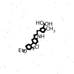 CCOc1ccc(-c2cc3cc(Cc4ccc(C)c(C(O)O)c4)[nH]c3cc2Cl)c(F)c1